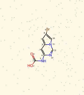 O=C(O)Nc1cc2cc(Br)cn2cn1